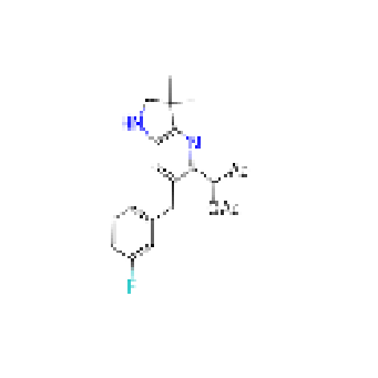 CC(=O)OC(C(C)=O)c1nc2c(cc1Cc1cccc(F)c1)NCC2(C)C